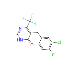 O=c1[nH][c]nc(C(F)(F)F)c1Cc1ccc(Cl)c(Cl)c1